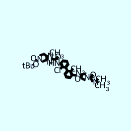 Cc1c(-c2nc3c(o2)CN(C(=O)CN(C)C)C3)cccc1-c1cccc(NC(=O)c2nc3c(n2C)CCN(C(=O)OC(C)(C)C)C3)c1Cl